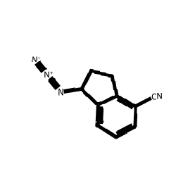 N#Cc1cccc2c1CCC2N=[N+]=[N-]